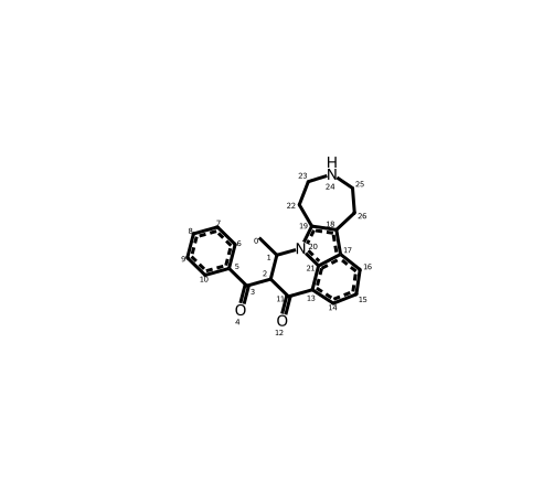 CC1C(C(=O)c2ccccc2)C(=O)c2cccc3c4c(n1c23)CCNCC4